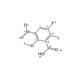 COc1c([N+](=O)[O-])cc(F)c(C)c1C(=O)O